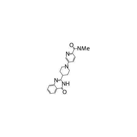 CNC(=O)c1ccc(N2CCC(c3nc4ccccc4c(=O)[nH]3)CC2)cn1